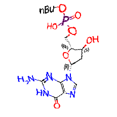 CCCCOP(=O)(O)OC[C@H]1O[C@@H](n2cnc3c(=O)[nH]c(N)nc32)C[C@@H]1O